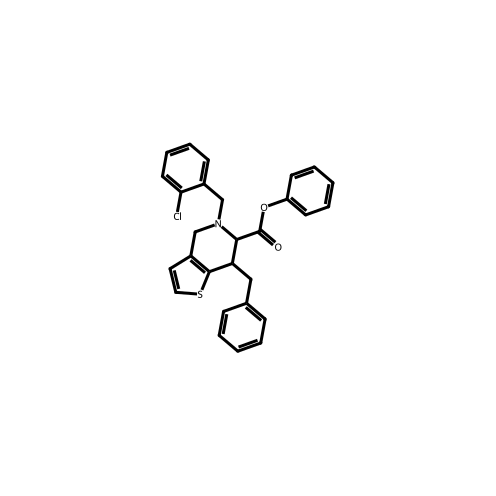 O=C(Oc1ccccc1)C1C(Cc2ccccc2)c2sccc2CN1Cc1ccccc1Cl